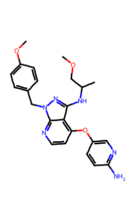 COCC(C)Nc1nn(Cc2ccc(OC)cc2)c2nccc(Oc3ccc(N)nc3)c12